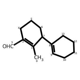 CC1=C(C=O)CCCC1C1=CCCCC1